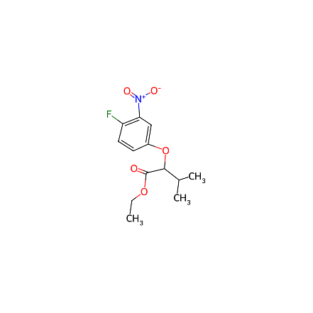 CCOC(=O)C(Oc1ccc(F)c([N+](=O)[O-])c1)C(C)C